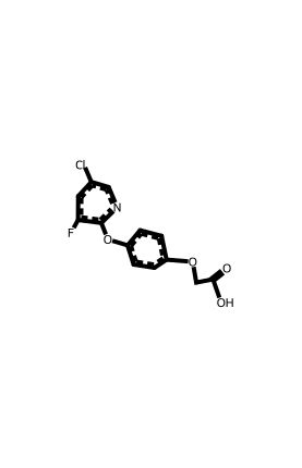 O=C(O)COc1ccc(Oc2ncc(Cl)cc2F)cc1